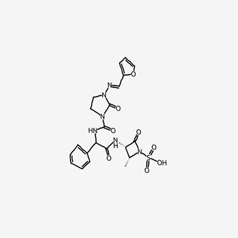 C[C@@H]1[C@H](NC(=O)C(NC(=O)N2CCN(N=Cc3ccco3)C2=O)c2ccccc2)C(=O)N1S(=O)(=O)O